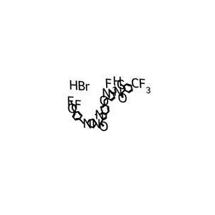 Br.Cn1c(C(=O)N2CCN(Cc3ccc(OC(F)F)cc3)CC2)cc2ccc(Oc3ccc(NC(=O)c4ccc(C(F)(F)F)cc4C(F)(F)F)cn3)cc21